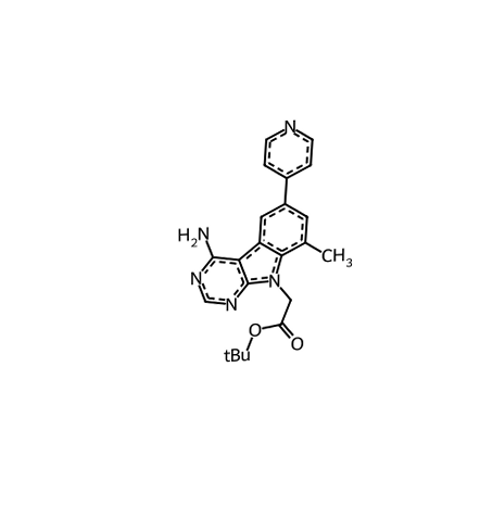 Cc1cc(-c2ccncc2)cc2c3c(N)ncnc3n(CC(=O)OC(C)(C)C)c12